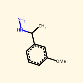 COc1cccc(C(C)NN)c1